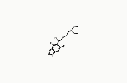 CCN(CC)CCOCC(O)c1c(F)cc2sccc2c1F